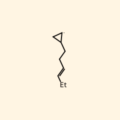 CCC=CCCC1[CH]C1